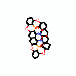 O=P12c3c4cccc3Oc3cc5cc6c7c(c5c(c31)N(c1ccccc1)c1cccc(c12)O4)N(c1ccccc1)c1cccc2c1P7(=O)c1c(cccc1O6)O2